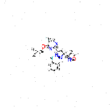 Fc1ccccc1Cn1nc(-c2ncc(F)c(OCC3CC3)n2)cc1-c1ccon1